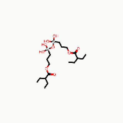 CCC(CC)C(=O)OCCC[Si](O)(O)O[Si](O)(O)CCCOC(=O)C(CC)CC